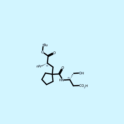 CCC[C@@H](CC1(C(=O)N[C@H](CO)CC(=O)O)CCCC1)C(=O)OC(C)(C)C